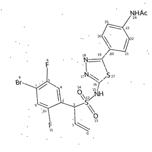 C=CC(c1cc(F)c(Br)cc1F)S(=O)(=O)Nc1nnc(-c2ccc(NC(C)=O)cc2)s1